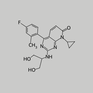 Cc1cc(F)ccc1-c1nc(NC(CO)CO)nc2c1ccc(=O)n2C1CC1